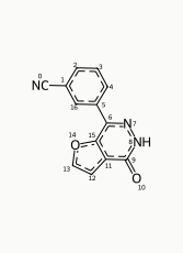 N#Cc1cccc(-c2n[nH]c(=O)c3ccoc23)c1